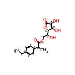 CC(C)Cc1ccc(C(C)C(=O)OC[C@H](O)[C@H]2OC(=O)C(O)=C2O)cc1